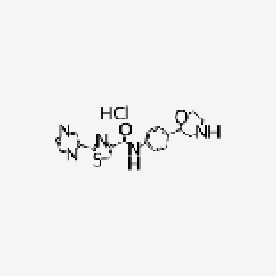 Cl.O=C(Nc1ccc(C2CNCCO2)cc1)c1csc(-c2cnccn2)n1